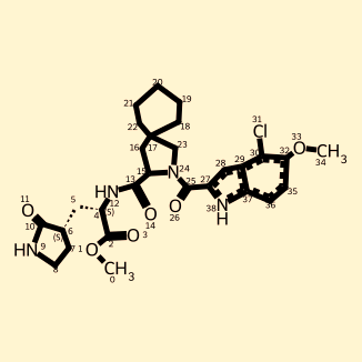 COC(=O)[C@H](C[C@@H]1CCNC1=O)NC(=O)C1CC2(CCCCC2)CN1C(=O)c1cc2c(Cl)c(OC)ccc2[nH]1